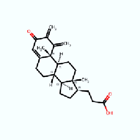 C=C1C(=C)[C@@]2(C)C(=CC1=O)CC[C@@H]1[C@@H]2CC[C@]2(C)[C@@H](CCC(=O)O)CC[C@@H]12